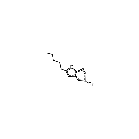 CCCCCc1cc2cc(Br)ccc2o1